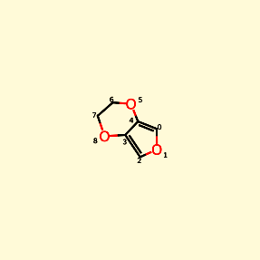 c1occ2c1OCCO2